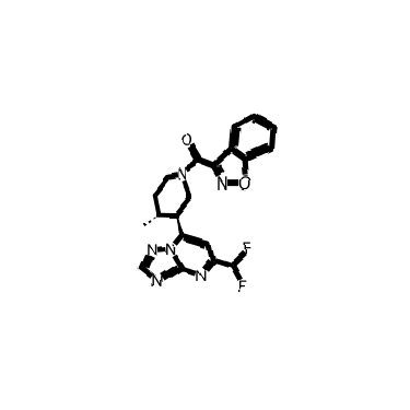 C[C@@H]1CCN(C(=O)c2noc3ccccc23)C[C@H]1c1cc(C(F)F)nc2ncnn12